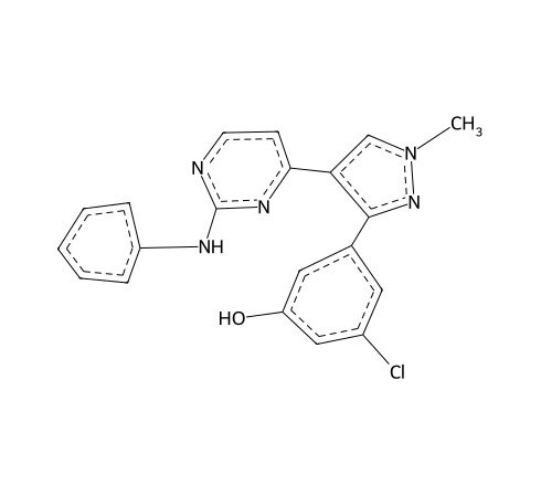 Cn1cc(-c2ccnc(Nc3ccccc3)n2)c(-c2cc(O)cc(Cl)c2)n1